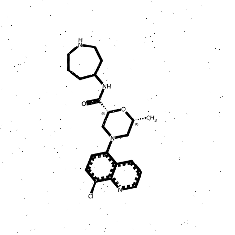 C[C@@H]1CN(c2ccc(Cl)c3ncccc23)C[C@H](C(=O)NC2CCCNCC2)O1